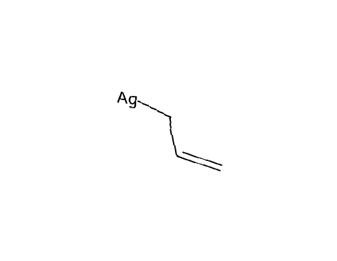 C=C[CH2][Ag]